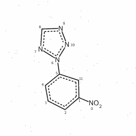 O=[N+]([O-])c1cccc(-n2ncnn2)c1